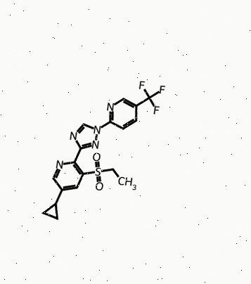 CCS(=O)(=O)c1cc(C2CC2)cnc1-c1ncn(-c2ccc(C(F)(F)F)cn2)n1